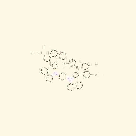 CCCCCCCCc1ccc(-c2c(B(C)c3c(C)cc(C)cc3C)sc(N(c3ccccc3)c3ccc(N(c4ccccc4)c4sc(B(c5ccc6c(c5)C(CCCCCCC)(CCCCCCC)c5cc(C)ccc5-6)c5c(C)cc(C)cc5C)c(-c5ccc(CCCCCCCC)cc5)c4-c4ccccc4)cc3)c2-c2ccccc2)cc1